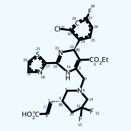 CCOC(=O)C1=C(CN2C[C@@H](/C=C/C(=O)O)CC(F)(F)C2)NC(c2nccs2)=N[C@H]1c1ccc(F)cc1Cl